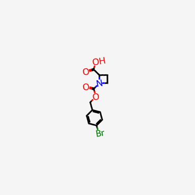 O=C(O)C1CCN1C(=O)OCc1ccc(Br)cc1